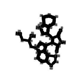 O=C1NC(=O)C(c2cn(CC(O)CO)c3ccc4c(c23)OCO4)=C1c1c[nH]c2ccccc12